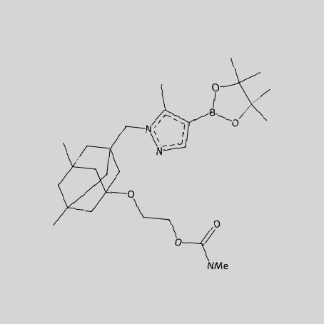 CNC(=O)OCCOC12CC3(C)CC(C)(CC(Cn4ncc(B5OC(C)(C)C(C)(C)O5)c4C)(C3)C1)C2